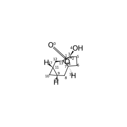 O=C1C[C@@]2(O)CC[C@H]3C[C@@H]4C[C@@H]4C[C@@]32O1